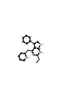 CCc1nc([CH]c2ccccn2)c2c(-c3ccccc3)csc2n1